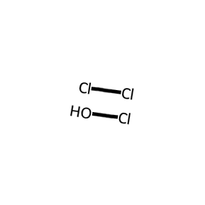 ClCl.OCl